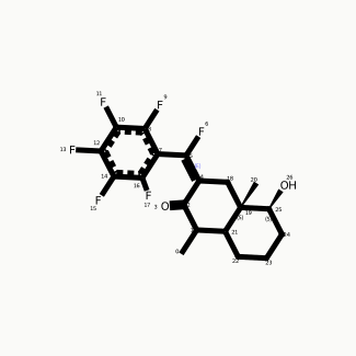 CC1C(=O)/C(=C(/F)c2c(F)c(F)c(F)c(F)c2F)C[C@@]2(C)C1CCC[C@@H]2O